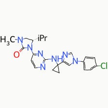 CC(C)[C@H]1CN(C)C(=O)N1c1ccnc(NC2(c3cn(-c4ccc(Cl)cc4)cn3)CC2)n1